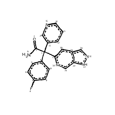 NC(=O)C(c1ccc(F)cc1)(c1cccnc1)c1cc2cn[nH]c2cn1